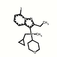 CCc1nn2c(I)cccc2c1[N+](C)(CC1CC1)C1CCOCC1